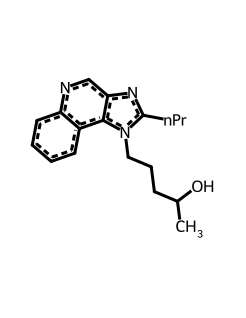 CCCc1nc2cnc3ccccc3c2n1CCCC(C)O